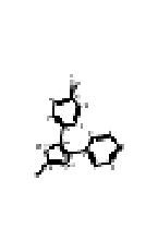 Cc1nc(-c2ccccc2)c(-c2ccc(Br)cc2)s1